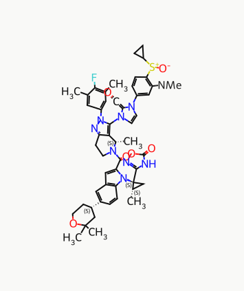 CNc1cc(N2C=CN(c3c4c(nn3-c3cc(C)c(F)c(C)c3)CCN(C(=O)c3cc5cc([C@H]6CCOC(C)(C)C6)ccc5n3[C@@]3(c5noc(=O)[nH]5)C[C@@H]3C)[C@H]4C)C2=C=O)ccc1[S+]([O-])C1CC1